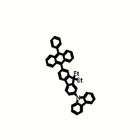 CCC1(CC)c2cc(-c3c4ccccc4c(-c4ccccc4)c4ccccc34)ccc2-c2ccc(-n3c4ccccc4c4ccccc43)cc21